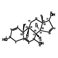 C[C@]12C=CC(O)CC1=CC(O)[C@@H]1[C@H]2CC[C@]2(C)C(O)C=C[C@@H]12